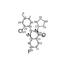 Cc1ccc(-c2nc3cc(F)ccc3c(=O)n2C2CCCC2)c(Cl)c1